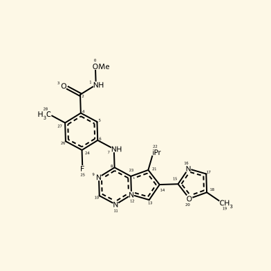 CONC(=O)c1cc(Nc2ncnn3cc(-c4ncc(C)o4)c(C(C)C)c23)c(F)cc1C